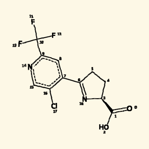 O=C(O)[C@@H]1CCC(c2cc(C(F)(F)F)ncc2Cl)=N1